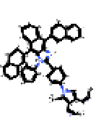 CC/C=C\c1c(/C=C\CCC)cn(-c2ccc(-c3nc4c(-c5ccc6ccccc6c5)c5ccccc5c(-c5ccc6ccccc6c5)c4n3-c3ccccc3)cc2)c1CC